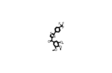 COc1cc(C(=O)c2csc(-c3ccc(C(F)(F)F)cc3)n2)cc(OC)c1OC